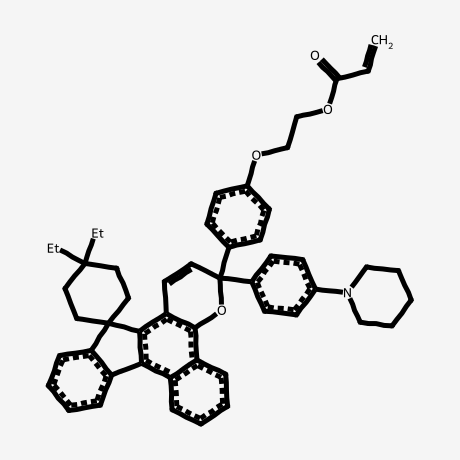 C=CC(=O)OCCOc1ccc(C2(c3ccc(N4CCCCC4)cc3)C=Cc3c4c(c5ccccc5c3O2)-c2ccccc2C42CCC(CC)(CC)CC2)cc1